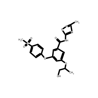 Cc1nsc(NC(=O)c2cc(Oc3ccc(S(C)(=O)=O)cc3)cc(OC(C)CO)c2)n1